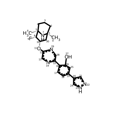 C[C@@]12CCC[C@@](C)(N1)[C@@H](F)[C@@H](Oc1cnc(-c3ccc(-c4cn[nH]c4)cc3O)cn1)C2